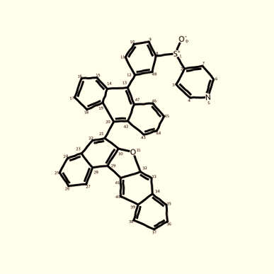 [O-][S+](c1ccncc1)c1cccc(-c2c3ccccc3c(-c3cc4ccccc4c4c3oc3cc5ccccc5cc34)c3ccccc23)c1